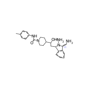 Cc1ccc(NC(=O)N2CCC(C(O)CC3c4ccccc4/C(=C/N)N3N)CC2)cc1